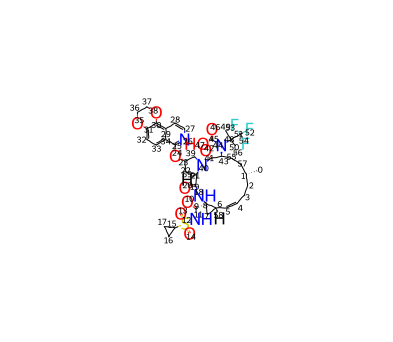 C[C@@H]1CCC=C[C@@H]2C[C@@]2(C(=O)NS(=O)(=O)C2CC2)NC(=O)[C@@H]2C[C@@H](Oc3nccc4c5c(ccc34)OCCO5)CN2C(=O)[C@@H](N(C(=O)O)C(C)(C)C(F)(F)F)[C@H](C)C1